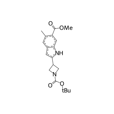 COC(=O)c1cc2[nH]c(C3CN(C(=O)OC(C)(C)C)C3)cc2cc1C